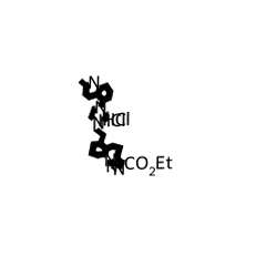 CCOC(=O)c1nnn2c1ccc1c(CCN3CCN(c4cccc5nc(C)ccc45)CC3)cccc12.Cl.Cl